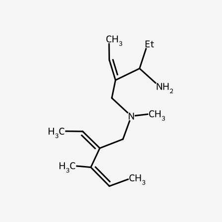 C/C=C(C)\C(=C/C)CN(C)C/C(=C/C)C(N)CC